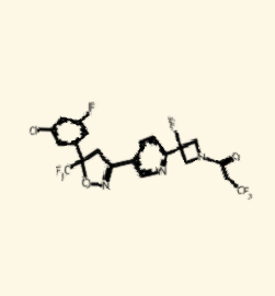 O=C(CC(F)(F)F)N1CC(F)(c2ccc(C3=NOC(c4cc(F)cc(Cl)c4)(C(F)(F)F)C3)cn2)C1